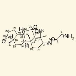 CC1(C)/C(=N\OCCN)CC[C@]2(C)[C@H]3CC[C@]4(C)C(=O)CC[C@H]4[C@@H]3CC(=O)[C@@]12O